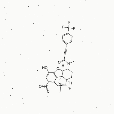 CN1CC[C@]23c4c5c([N+](=O)[O-])cc(O)c4O[C@H]2[C@H](N(C)C(=O)C#Cc2ccc(C(F)(F)F)cc2)CC[C@H]3[C@H]1C5